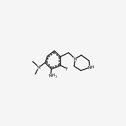 CN(C)c1ccc(CN2CCNCC2)c(F)c1N